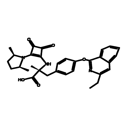 CCc1cc2ccccc2c(Oc2ccc(C[C@](C)(Nc3c(N4[C@H](C)CC[C@@H]4C)c(=O)c3=O)C(=O)O)cc2)n1